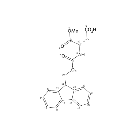 COC(=O)[C@H](CC(=O)O)NC(=O)OCC1c2ccccc2-c2ccccc21